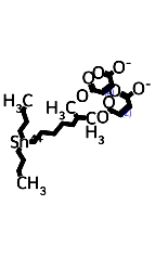 CCC[CH2][Sn+4]([CH2]CCC)[CH2]CCCCC(C)C.O=C([O-])/C=C\C(=O)[O-].O=C([O-])/C=C\C(=O)[O-]